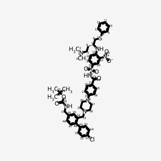 CN(C)CC[C@H](CSc1ccccc1)Nc1ccc(S(=O)(=O)NC(=O)c2ccc(N3CCN(Cc4cc(CNC(=O)OC(C)(C)C)ccc4-c4ccc(Cl)cc4)CC3)cc2)cc1[N+](=O)[O-]